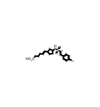 O=C(O)CCC/C=C/C1CCC(NS(=O)(=O)/C=C/c2ccc(I)cc2)C1